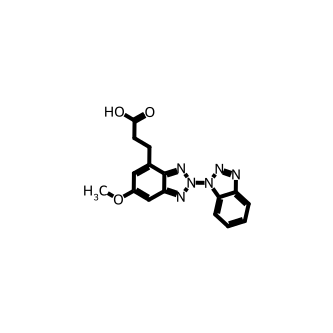 COc1cc(CCC(=O)O)c2nn(-n3nnc4ccccc43)nc2c1